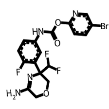 NC1=NC(c2cc(NC(=O)Oc3ccc(Br)cn3)ccc2F)(C(F)F)COC1